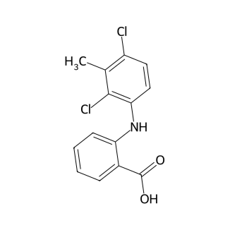 Cc1c(Cl)ccc(Nc2ccccc2C(=O)O)c1Cl